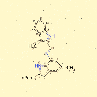 CCCCCc1cc2cc(C)cc(/N=C/c3[nH]c4ccccc4c3C)c2[nH]1